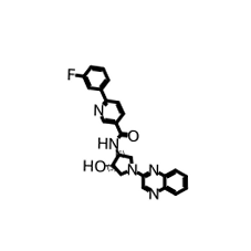 O=C(N[C@H]1CN(c2cnc3ccccc3n2)C[C@@H]1O)c1ccc(-c2cccc(F)c2)nc1